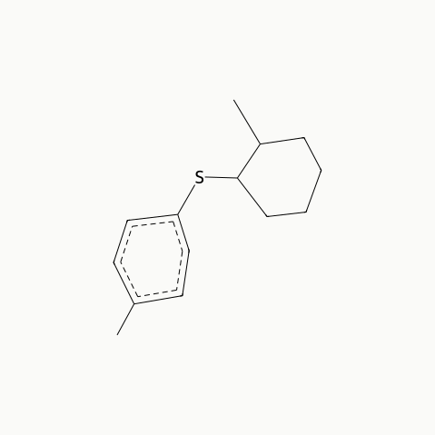 Cc1ccc(SC2CCCCC2C)cc1